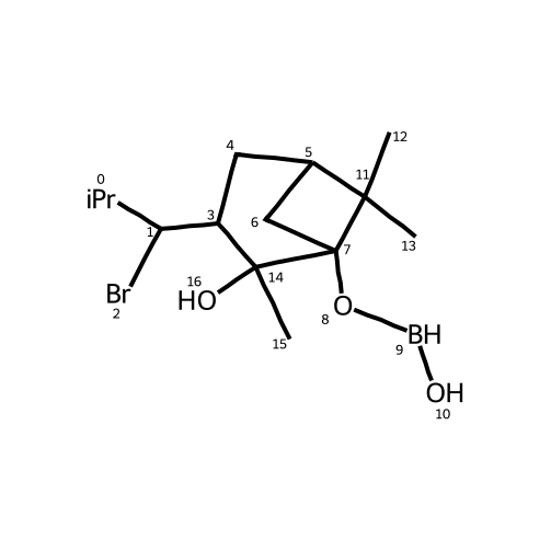 CC(C)C(Br)C1CC2CC(OBO)(C2(C)C)C1(C)O